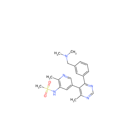 Cc1ncc(-c2c(C)ncnc2-c2cccc(CN(C)C)c2)cc1NS(C)(=O)=O